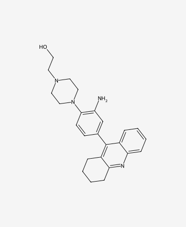 Nc1cc(-c2c3c(nc4ccccc24)CCCC3)ccc1N1CCN(CCO)CC1